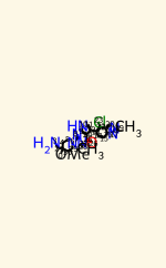 COC1(CN)CCN(c2nc3[nH]cc(-c4ccc5nn(C)cc5c4Cl)c3c(=O)n2C)CC1